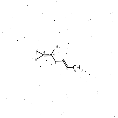 C/C=C/CC(I)=C1CC1